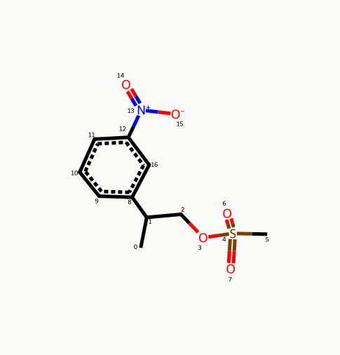 CC(COS(C)(=O)=O)c1cccc([N+](=O)[O-])c1